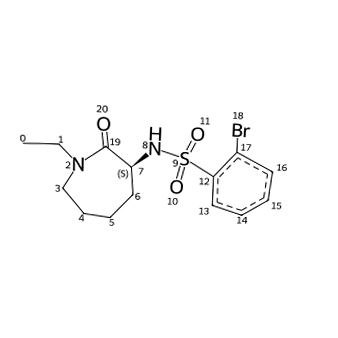 CCN1CCCC[C@H](NS(=O)(=O)c2ccccc2Br)C1=O